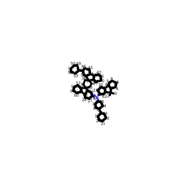 CC1(C)c2ccccc2-c2ccc(N(c3ccc(-c4ccccc4)cc3)c3ccc4c(c3)C3(CCC5(CC3)c3ccccc3-c3ccc(-c6ccccc6)cc35)c3ccccc3-4)cc21